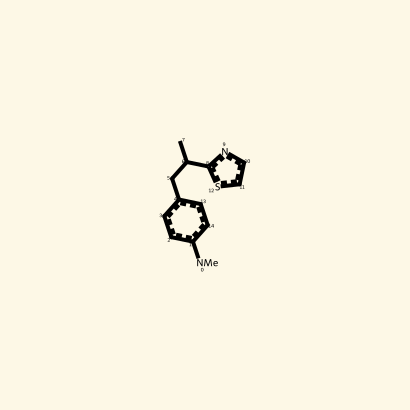 CNc1ccc(CC(C)c2nccs2)cc1